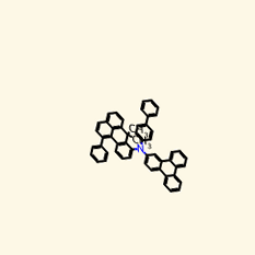 CC1(C)c2c(cccc2N(c2ccc(-c3ccccc3)cc2)c2ccc3c4ccccc4c4ccccc4c3c2)-c2c(-c3ccccc3)ccc3cccc1c23